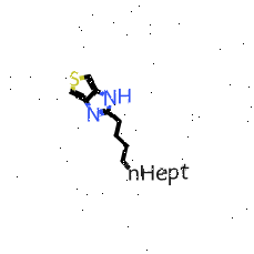 CCCCCCCCCCCc1nc2cscc2[nH]1